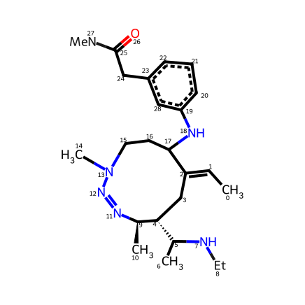 C/C=C1\C[C@H](C(C)NCC)[C@@H](C)/N=N\N(C)CCC1Nc1cccc(CC(=O)NC)c1